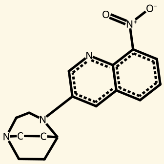 O=[N+]([O-])c1cccc2cc(N3CCN4CCC3CC4)cnc12